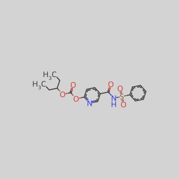 CCC(CC)OC(=O)Oc1ccc(C(=O)NS(=O)(=O)c2ccccc2)cn1